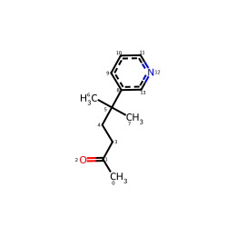 CC(=O)CCC(C)(C)c1cccnc1